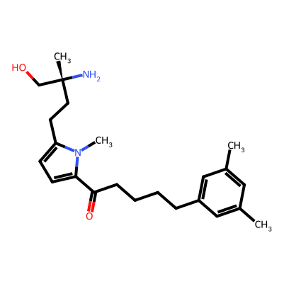 Cc1cc(C)cc(CCCCC(=O)c2ccc(CC[C@@](C)(N)CO)n2C)c1